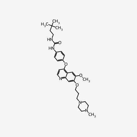 COc1cc2c(Oc3ccc(NC(=O)NCCC(C)(C)C)cc3)ccnc2cc1OCCCN1CCN(C)CC1